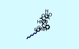 C/C=C/C=C/C=C/C(=O)CC(=O)N[C@@H](CC(=O)N[C@H](C(=O)[C@@H]1C(=O)NC(=O)[C@H]1C)C(C)C)c1ccccc1